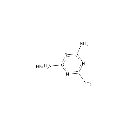 Br.Nc1nc(N)nc(N)n1